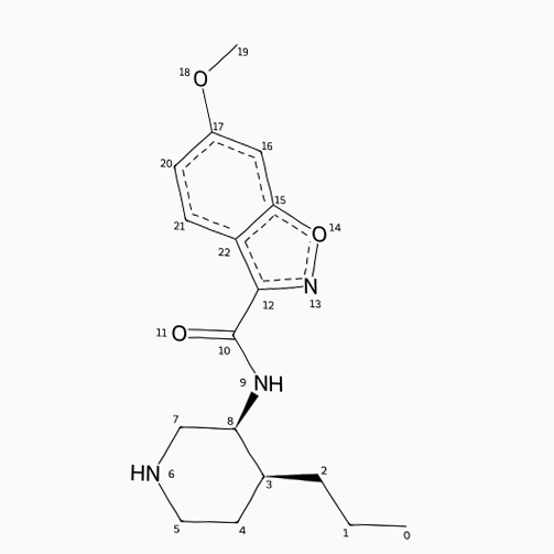 CCC[C@H]1CCNC[C@H]1NC(=O)c1noc2cc(OC)ccc12